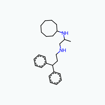 CC(CNCCC(c1ccccc1)c1ccccc1)NC1CCCCCCC1